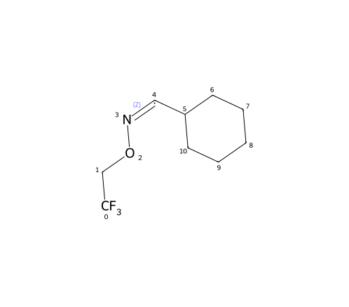 FC(F)(F)CO/N=[C]\C1CCCCC1